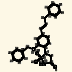 O=C1CN(c2ccc(C=CCc3ccccc3)cc2OCc2ccccc2)S(=O)(=O)N1